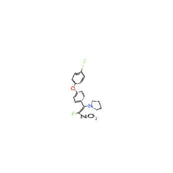 O=[N+]([O-])C(F)=C(c1ccc(Oc2ccc(F)cc2)cc1)N1CCCC1